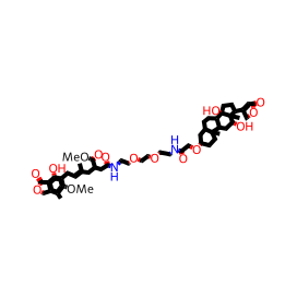 COC(=O)C(CC(=O)NCCOCCOCCNC(=O)COC1CCC2(C)C(CCC3C2CC(O)C2(C)C(C4=CC(=O)OC4)CCC32O)C1)C/C(C)=C/Cc1c(O)c2c(c(C)c1OC)COC2=O